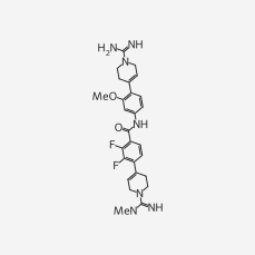 CNC(=N)N1CC=C(c2ccc(C(=O)Nc3ccc(C4=CCN(C(=N)N)CC4)c(OC)c3)c(F)c2F)CC1